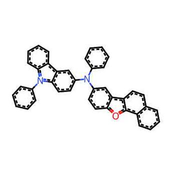 c1ccc(N(c2ccc3oc4c5ccccc5ccc4c3c2)c2ccc3c(c2)c2ccccc2n3-c2ccccc2)cc1